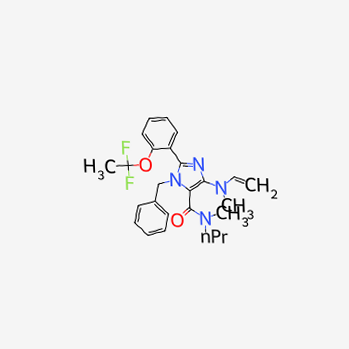 C=CN(C)c1nc(-c2ccccc2OC(C)(F)F)n(Cc2ccccc2)c1C(=O)N(C)CCC